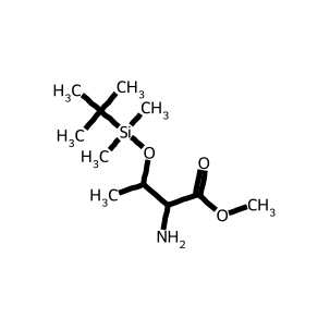 COC(=O)C(N)C(C)O[Si](C)(C)C(C)(C)C